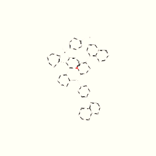 CC(C)(C)c1ccc(C2(C)c3ccccc3-c3c(-c4ccccc4N(c4ccc(-c5cccc6ccccc56)cc4)c4ccc(-c5cccc6ccccc56)cc4)cccc32)cc1